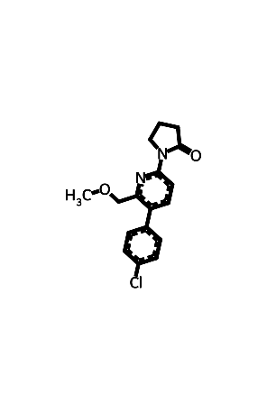 COCc1nc(N2CCCC2=O)ccc1-c1ccc(Cl)cc1